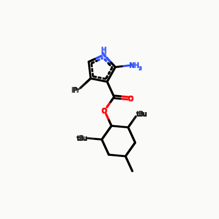 CC1CC(C(C)(C)C)C(OC(=O)c2c(C(C)C)c[nH]c2N)C(C(C)(C)C)C1